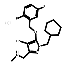 CNCc1nn(CC2CCCCC2)c(OCc2cc(F)ccc2F)c1Br.Cl